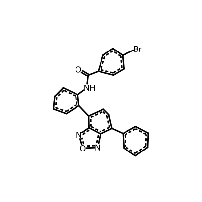 O=C(Nc1ccccc1-c1ccc(-c2ccccc2)c2nonc12)c1ccc(Br)cc1